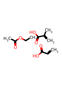 C=C(C)C(=O)O.C=CC(=O)O.CCOC(C)=O